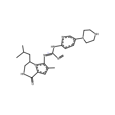 C=N/C(=N\c1c(C)cc2n1C(CC(C)C)CNC2=O)Nc1ccc(N2CCNCC2)cn1